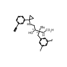 C#Cc1cccc(C2(NC[C@H](O)[C@@](Cc3cc(F)cc(F)c3)(NC(=O)O)C(C)(C)C)CC2)c1